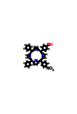 O=[N+]([O-])c1ccc(C2=C3C=CC(=N3)C(c3ccccc3)=C3C=CC(=N3)C(c3ccccc3)=C3C=CC(=N3)C(c3ccc(O)cc3)=C3C=CC2=N3)cc1